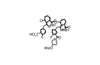 COC1CCN(C(=O)c2cc(Cc3n[nH]c(=O)c4cccc(Cl)c34)ccc2F)CC1.O=C(O)c1cc(Cc2n[nH]c(=O)c3cccc(Cl)c23)ccc1F